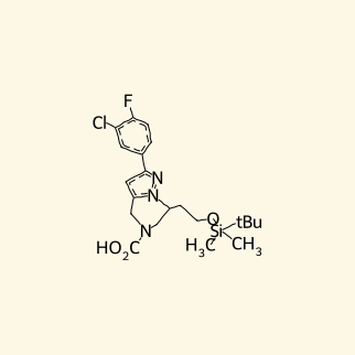 CC(C)(C)[Si](C)(C)OCCC1CN(C(=O)O)Cc2cc(-c3ccc(F)c(Cl)c3)nn21